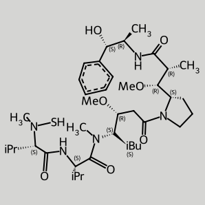 CC[C@H](C)[C@@H]([C@@H](CC(=O)N1CCC[C@H]1[C@H](OC)[C@@H](C)C(=O)N[C@H](C)[C@@H](O)c1ccccc1)OC)N(C)C(=O)[C@@H](NC(=O)[C@H](C(C)C)N(C)S)C(C)C